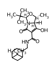 C[C@H]1O[C@H](C(C)(C)C)N2C(=O)C(C(=O)NCC3CCC4CC3C4(C)C)=C(O)[C@@H]12